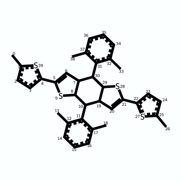 Cc1ccc(C2=CC3C(S2)C(c2c(C)cccc2C)C2C=C(c4ccc(C)s4)SC2C3c2c(C)cccc2C)s1